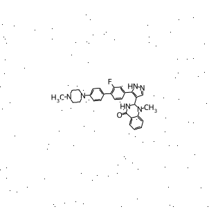 CN1CCN(c2ccc(-c3ccc(-c4[nH]ncc4C4NC(=O)c5ccccc5N4C)cc3F)cc2)CC1